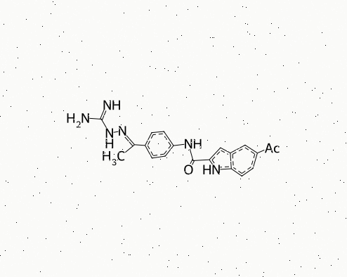 CC(=O)c1ccc2[nH]c(C(=O)Nc3ccc(/C(C)=N/NC(=N)N)cc3)cc2c1